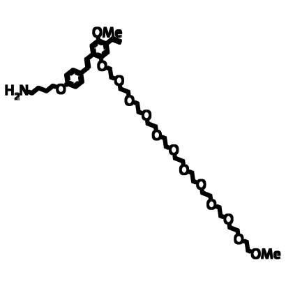 C=Cc1cc(OCCOCCOCCOCCOCCOCCOCCOCCOCCOCCOCCOC)c(/C=C/c2ccc(OCCCCN)cc2)cc1OC